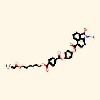 C=CC(=O)OCCCCCCOC(=O)c1ccc(C(=O)Oc2ccc(OC(=O)c3ccc4c5c(cccc35)C(=O)N4C)cc2)cc1